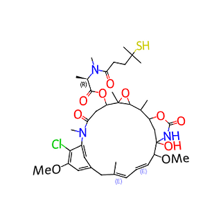 COc1cc2cc(c1Cl)N(C)C(=O)CC(OC(=O)[C@@H](C)N(C)C(=O)CCC(C)(C)S)C1(C)OC1C(C)C1CC(O)(NC(=O)O1)C(OC)/C=C/C=C(\C)C2